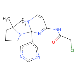 CC1(C)CCCN1C1(c2cncnc2)N=C(NC(=O)CCl)C=CN1